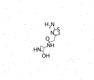 Nc1nc(CC(=O)NC2CNC2O)cs1